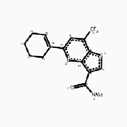 CNC(=O)c1csc2c(C(F)(F)F)cc(C3=CC[CH]CC3)nc12